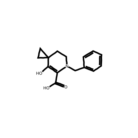 O=C(O)C1=C(O)C2(CCN1Cc1ccccc1)CC2